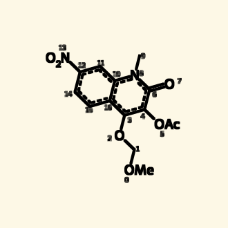 COCOc1c(OC(C)=O)c(=O)n(C)c2cc([N+](=O)[O-])ccc12